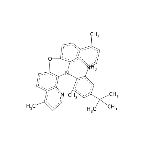 Cc1cc(C(C)(C)C)cc(C)c1N1c2c(ccc3c(C)ccnc23)Oc2ccc3c(C)ccnc3c21